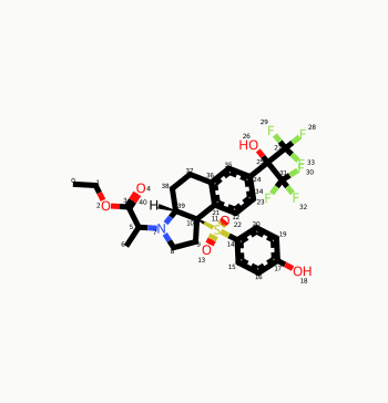 CCOC(=O)C(C)N1CC[C@@]2(S(=O)(=O)c3ccc(O)cc3)c3ccc(C(O)(C(F)(F)F)C(F)(F)F)cc3CC[C@@H]12